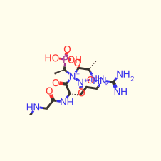 CNCC(=O)N[C@@H](CCCNC(=N)N)C(=O)[N+](C(=O)[C@H](C)N)([C@@H](C)P(=O)(O)O)[N+](=O)[O-]